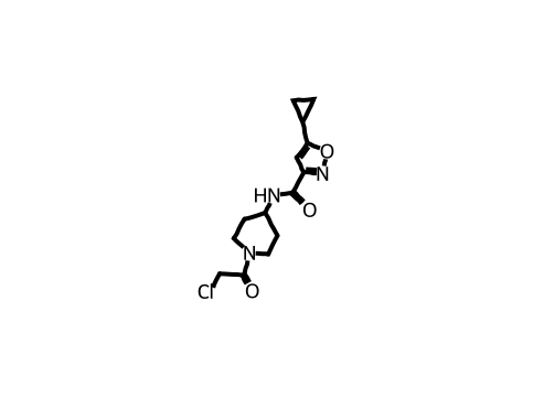 O=C(NC1CCN(C(=O)CCl)CC1)c1cc(C2CC2)on1